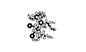 CC(=O)O[C@@H](CCN=[N+]=[N-])C(=O)N[C@@H]1CC(N=[N+]=[N-])[C@@H](O[C@H]2OC([C@@H](C)OC(C)=O)[C@@H](OC(C)=O)[C@H](OC(C)=O)C2N=[N+]=[N-])C(O[C@@H]2O[C@H](CN/C(=N\C(=O)OC(C)(C)C)NC(=O)OC(C)(C)C)C(OC(=O)c3ccccc3)[C@@H]2OC(=O)c2ccccc2)[C@@H]1OC(C)=O